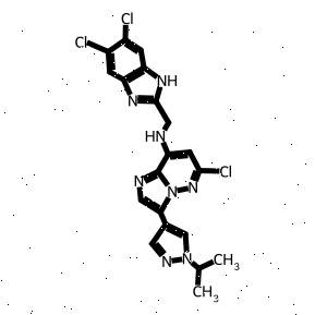 CC(C)n1cc(-c2cnc3c(NCc4nc5cc(Cl)c(Cl)cc5[nH]4)cc(Cl)nn23)cn1